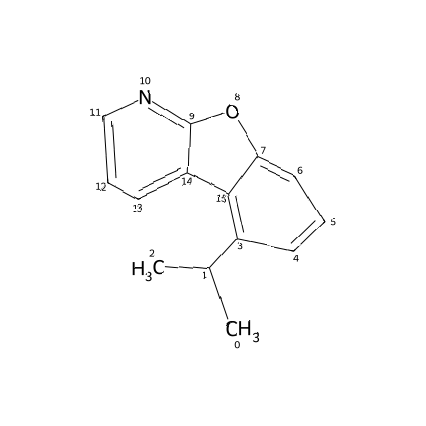 CC(C)c1cccc2oc3ncccc3c12